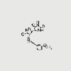 COc1cccc(C#C[C@H]2C[C@@H]2c2cc(-c3c[nH]c(=O)[nH]c3=O)nnc2Cl)c1